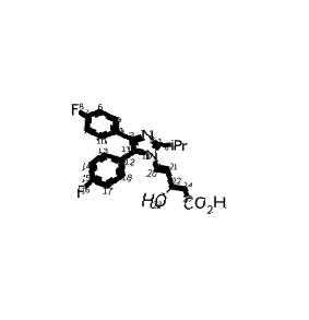 CC(C)c1nc(-c2ccc(F)cc2)c(-c2ccc(F)cc2)n1C=C[C@@H](O)CC(=O)O